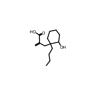 C=C(CC1(CCCC)CCCCC1O)C(=O)O